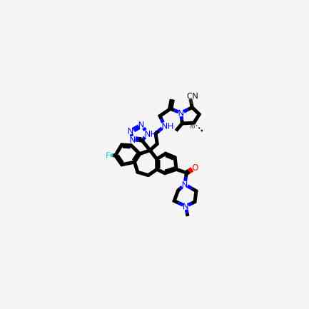 C=C(CNCCC1(c2nnn[nH]2)c2ccc(F)cc2CCc2cc(C(=O)N3CCN(C)CC3)ccc21)N1C(C#N)C[C@H](C)C1C